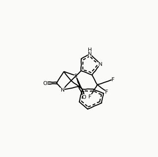 O=C1SC2C(=O)N1C2(c1ccccc1)c1c[nH]nc1C(F)(F)F